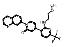 COCCNc1nc(C(F)(F)F)ccc1-c1ccn(-c2ccc3cccnc3c2)c(=O)c1